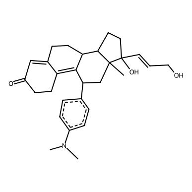 CN(C)c1ccc(C2CC3(C)C(CCC3(O)C=CCO)C3CCC4=CC(=O)CCC4=C23)cc1